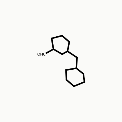 O=CC1CCCC(CC2CCCCC2)C1